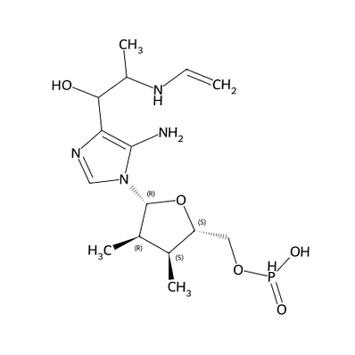 C=CNC(C)C(O)c1ncn([C@@H]2O[C@H](CO[PH](=O)O)[C@@H](C)[C@H]2C)c1N